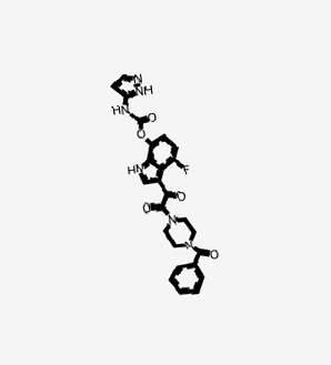 O=C(Nc1ccn[nH]1)Oc1ccc(F)c2c(C(=O)C(=O)N3CCN(C(=O)c4ccccc4)CC3)c[nH]c12